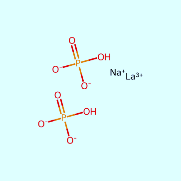 O=P([O-])([O-])O.O=P([O-])([O-])O.[La+3].[Na+]